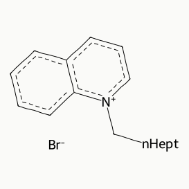 CCCCCCCC[n+]1cccc2ccccc21.[Br-]